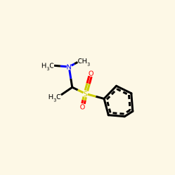 CC(N(C)C)S(=O)(=O)c1ccccc1